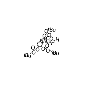 CCC(C)COC(=O)Oc1ccc(C[C@](NC(C)C)(OC(=O)OC(C)(C)C)C(=O)O)cc1OC(=O)OCC(C)CC